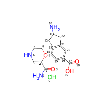 Cl.NC(=O)C1CNCCO1.NC1Cc2ccc(C(=O)O)cc2C1